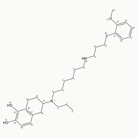 CCCN(CCCCCCNCCCSc1ccccc1OC)C1CCc2c(ccc(O)c2O)C1